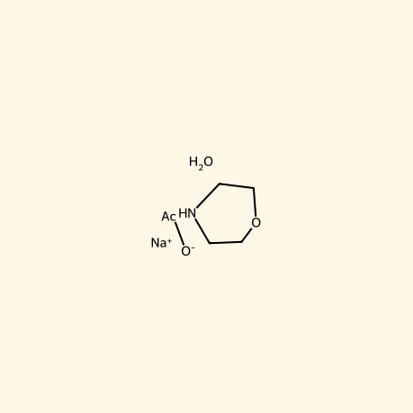 C1COCCN1.CC(=O)[O-].O.[Na+]